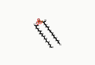 CCCCCCCCCCCCCCCCC(C)CO[PH](=O)OCC(C)CCCCCCCCCCCCCCCC